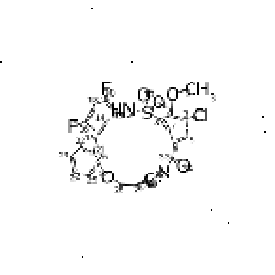 COc1c(Cl)cc2cc1S(=O)(=O)Nc1cc(c(F)cc1F)-c1ccccc1OCC1CN(C1)C2=O